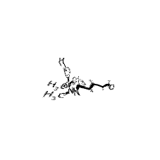 CN(N=CCCCC=O)[Si](C)(C)C